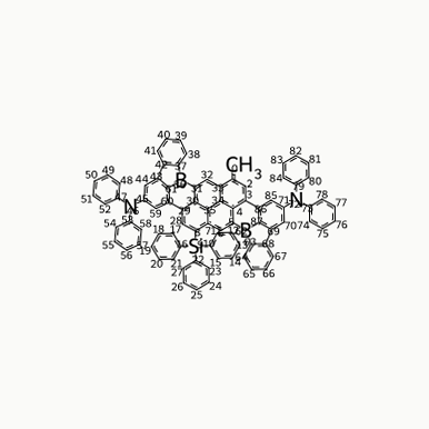 Cc1cc2c3c(cc4c([Si](c5ccccc5)(c5ccccc5)c5ccccc5)cc5c6c(cc1c3c46)B1c3ccccc3-c3cc(N(c4ccccc4)c4ccccc4)cc-5c31)B1c3ccccc3-c3cc(N(c4ccccc4)c4ccccc4)cc-2c31